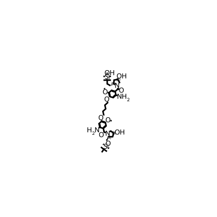 COc1cc(C(=O)N2C[C@H](O)C[C@H]2CCC(C)(C)[Si](C)(C)O)c(N)cc1OCCCCCOc1cc(N)c(C(=O)N2C[C@H](O)C[C@H]2CO[Si](C)(C)C(C)(C)C)cc1OC